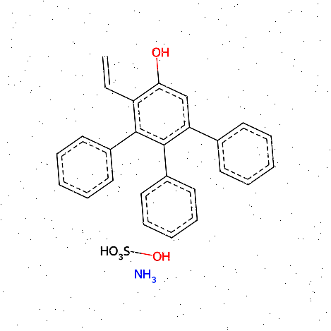 C=Cc1c(O)cc(-c2ccccc2)c(-c2ccccc2)c1-c1ccccc1.N.O=S(=O)(O)O